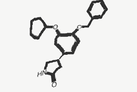 O=C1C[C@H](c2ccc(OCc3ccccc3)c(OC3CCCC3)c2)CN1